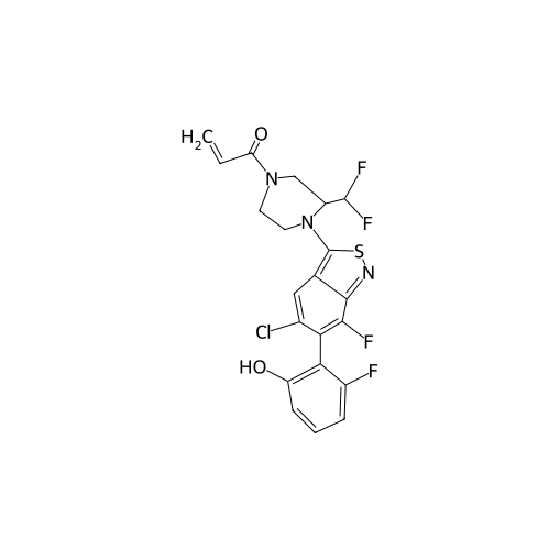 C=CC(=O)N1CCN(c2snc3c(F)c(-c4c(O)cccc4F)c(Cl)cc23)C(C(F)F)C1